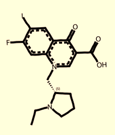 CCN1CCC[C@H]1Cn1cc(C(=O)O)c(=O)c2cc(I)c(F)cc21